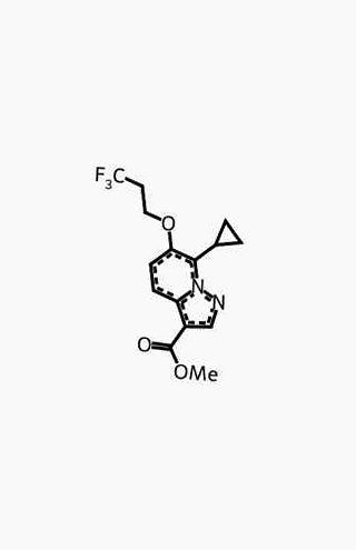 COC(=O)c1cnn2c(C3CC3)c(OCCC(F)(F)F)ccc12